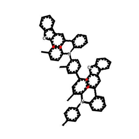 Cc1ccc(N(c2ccc(-c3ccc(N(c4ccc(C)cc4)c4ccccc4-c4ccc5oc6ccccc6c5c4)c(C)c3)cc2C)c2ccccc2-c2ccc3oc4ccccc4c3c2)cc1